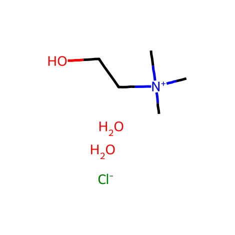 C[N+](C)(C)CCO.O.O.[Cl-]